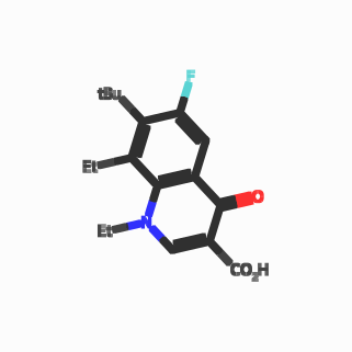 CCc1c(C(C)(C)C)c(F)cc2c(=O)c(C(=O)O)cn(CC)c12